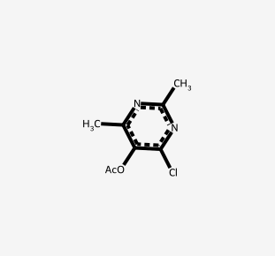 CC(=O)Oc1c(C)nc(C)nc1Cl